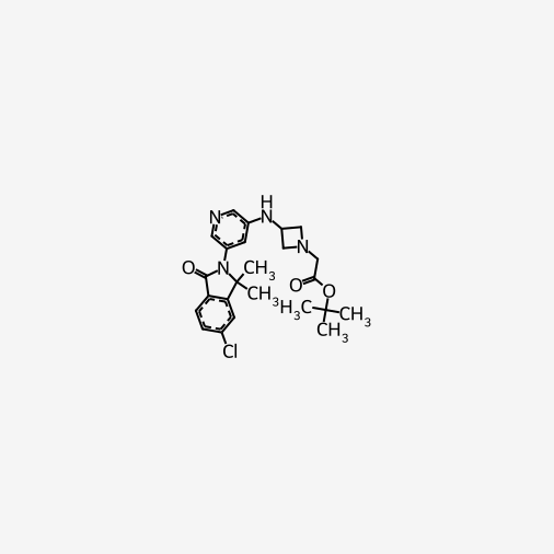 CC(C)(C)OC(=O)CN1CC(Nc2cncc(N3C(=O)c4ccc(Cl)cc4C3(C)C)c2)C1